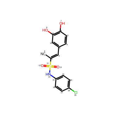 N#C/C(=C\c1ccc(O)c(O)c1)S(=O)(=O)Nc1ccc(Cl)cc1